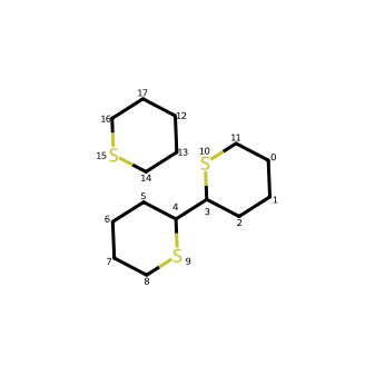 C1CCC(C2CCCCS2)SC1.C1CCSCC1